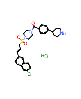 Cl.O=C(c1ccc(C2CCNCC2)cc1)N1CCN(S(=O)(=O)CC=Cc2ccc3cc(Cl)ccc3c2)CC1